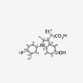 CCC(C(=O)O)c1c(C)n(-c2ccc(F)c(C)c2)c2ccc(O)cc12